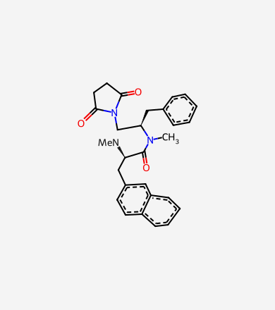 CN[C@H](Cc1ccc2ccccc2c1)C(=O)N(C)[C@H](Cc1ccccc1)CN1C(=O)CCC1=O